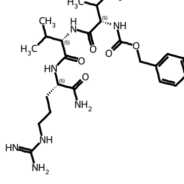 CC(C)[C@H](NC(=O)OCc1ccccc1)C(=O)N[C@H](C(=O)N[C@@H](CCCNC(=N)N)C(N)=O)C(C)C